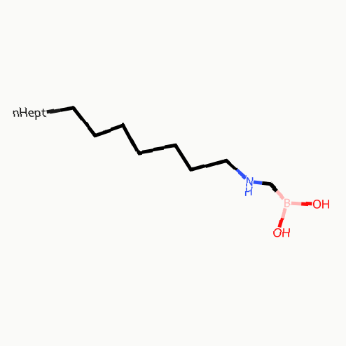 CCCCCCCCCCCCCCNCB(O)O